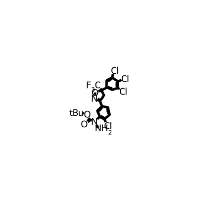 CC(C)(C)OC(=O)N(N)c1cc(C2=NOC(c3cc(Cl)c(Cl)c(Cl)c3)(C(F)(F)F)C2)ccc1Cl